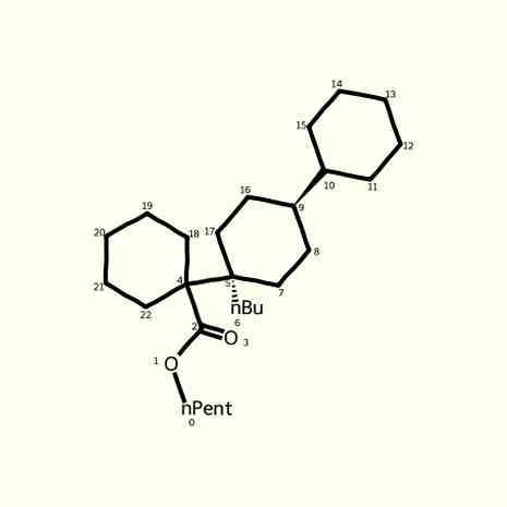 CCCCCOC(=O)C1([C@]2(CCCC)CC[C@H](C3CCCCC3)CC2)CCCCC1